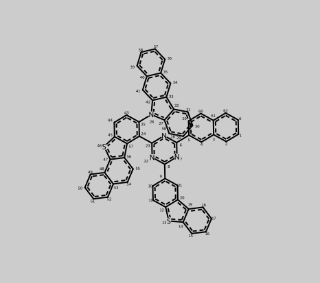 c1ccc2cc(-c3nc(-c4ccc5sc6ccccc6c5c4)nc(-c4c(-n5c6ccccc6c6cc7ccccc7cc65)ccc5sc6c7ccccc7ccc6c45)n3)ccc2c1